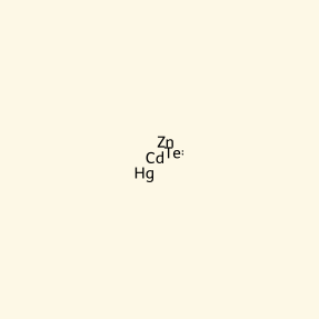 [Cd].[Hg].[Te].[Zn]